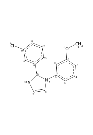 COc1cccc(N2C=CSC2c2cccc(Cl)c2)c1